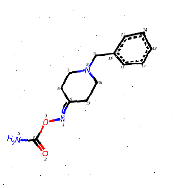 NC(=O)ON=C1CCN(Cc2ccccc2)CC1